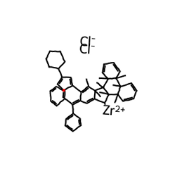 CC1=C(C2=CC(C3CCCCC3)=CC2)C(=C(c2ccccc2)c2ccccc2)C=C2[CH]([Zr+2])C3(C)C4(C)C=CC=CC4(C)C4(C)C=CC=CC4(C)C3(C)C21C.[Cl-].[Cl-]